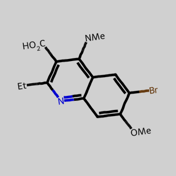 CCc1nc2cc(OC)c(Br)cc2c(NC)c1C(=O)O